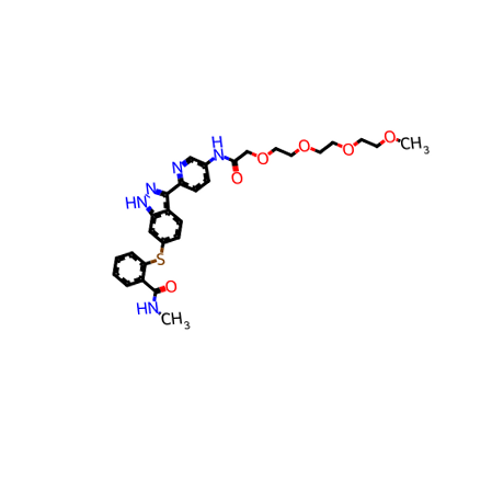 CNC(=O)c1ccccc1Sc1ccc2c(-c3ccc(NC(=O)COCCOCCOCCOC)cn3)n[nH]c2c1